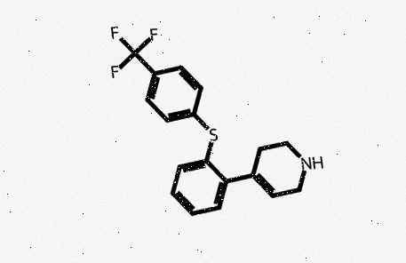 FC(F)(F)c1ccc(Sc2ccccc2C2=CCNCC2)cc1